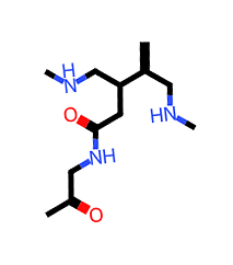 C=C(CNC)C(CNC)CC(=O)NCC(C)=O